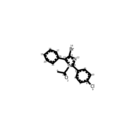 CC(=O)n1c(-c2ccc(Cl)cc2)nc(Br)c1-c1ccccc1